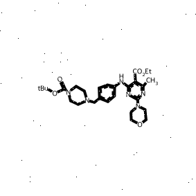 CCOC(=O)c1c(C)nc(N2CCOCC2)nc1Nc1ccc(CN2CCN(C(=O)OC(C)(C)C)CC2)cc1